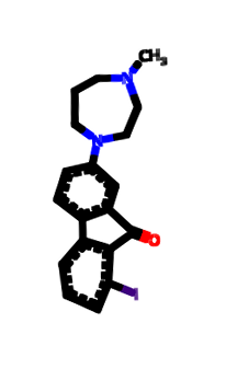 CN1CCCN(c2ccc3c(c2)C(=O)c2c(I)cccc2-3)CC1